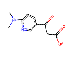 CN(C)c1ccc(C(=O)CC(=O)O)cn1